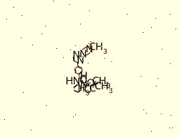 CN1CCN(c2nccc(-c3ccc(C(=O)Nc4ccccc4NC(=O)OC(C)(C)C)cc3)n2)CC1